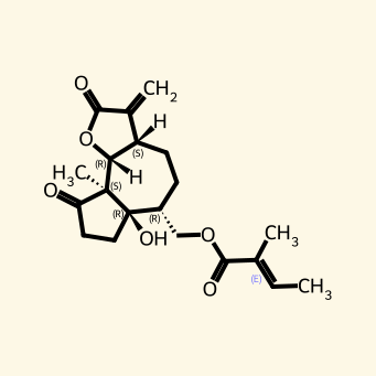 C=C1C(=O)O[C@@H]2[C@H]1CC[C@H](COC(=O)/C(C)=C/C)[C@]1(O)CCC(=O)[C@@]21C